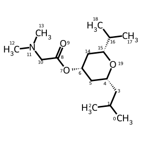 CC(C)C[C@@H]1C[C@H](OC(=O)CN(C)C)C[C@H](C(C)C)O1